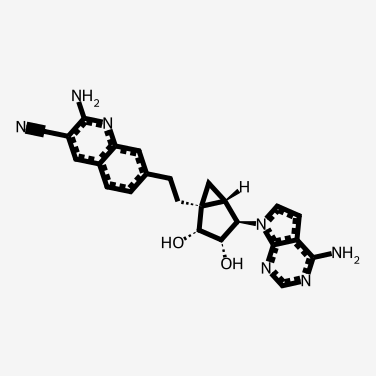 N#Cc1cc2ccc(CC[C@]34C[C@@H]3[C@@H](n3ccc5c(N)ncnc53)[C@H](O)[C@@H]4O)cc2nc1N